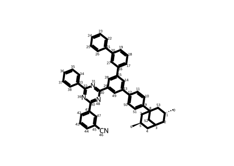 C[C@@H]1CC2C[C@@H](C)CC(c3ccc(-c4cc(-c5cccc(-c6ccccc6)c5)cc(-c5nc(-c6ccccc6)nc(-c6cccc(C#N)c6)n5)c4)cc3)(C2)C1